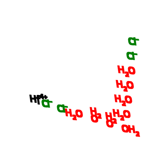 O.O.O.O.O.O.O.O.[Cl-].[Cl-].[Cl-].[Cl-].[Hf+4]